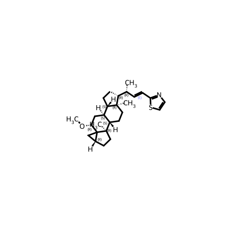 CO[C@@H]1C[C@H]2[C@@H]3CC[C@H]([C@H](C)/C=C/c4nccs4)[C@@]3(C)CC[C@@H]2[C@@]2(C)CC[C@@H]3CC312